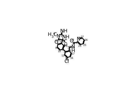 CN1C(=N)NC(C)(c2cccc(-c3cc(Cl)ccc3CNC(=O)c3ccccn3)c2)C1=O